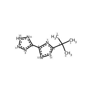 CC(C)(C)c1nc(-c2nn[nH]n2)ns1